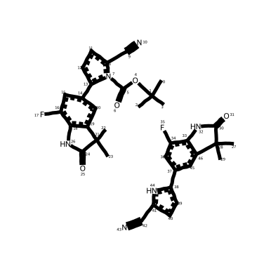 CC(C)(C)OC(=O)n1c(C#N)ccc1-c1cc(F)c2c(c1)C(C)(C)C(=O)N2.CC1(C)C(=O)Nc2c(F)cc(-c3ccc(C#N)[nH]3)cc21